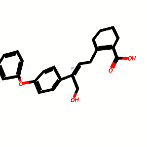 O=C(O)C1=C(C/C=C(\CO)c2ccc(Oc3ccccc3)cc2)CCCC1